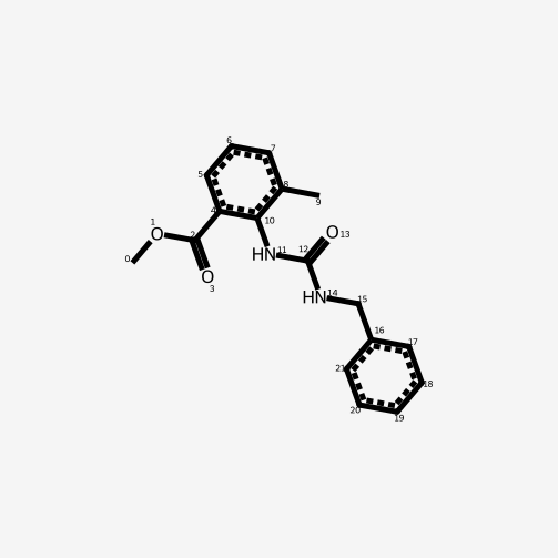 COC(=O)c1cccc(C)c1NC(=O)NCc1ccccc1